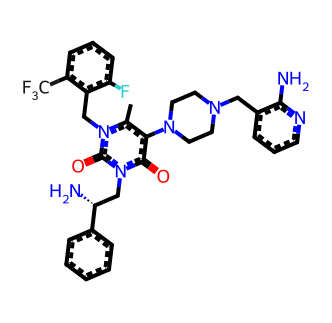 Cc1c(N2CCN(Cc3cccnc3N)CC2)c(=O)n(C[C@@H](N)c2ccccc2)c(=O)n1Cc1c(F)cccc1C(F)(F)F